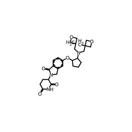 CC1(CN(CC2(C)COC2)C2CCCC2Oc2ccc3c(c2)CN(C2CCC(=O)NC2=O)C3=O)COC1